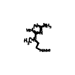 CNCCN(C)c1nc(N)n[nH]1